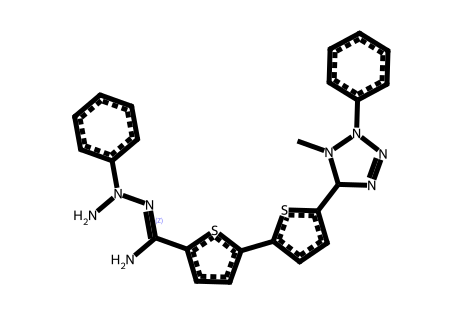 CN1C(c2ccc(-c3ccc(/C(N)=N/N(N)c4ccccc4)s3)s2)N=NN1c1ccccc1